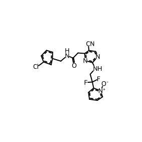 N#Cc1cnc(NCC(F)(F)c2cccc[n+]2[O-])nc1CC(=O)NCc1cccc(Cl)c1